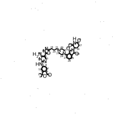 CC1(C)OC(=O)c2ccc(Nc3ncc(-c4nnc(CCCN5CCN(c6cccc7c6C(=O)N(C6CCC(=O)NC6=O)C7=O)CC5)o4)c(N)n3)cc21